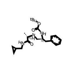 C[C@H](NC[C@H](Cc1ccccc1)NC(=O)OC(C)(C)C)C(=O)NCC1CC1